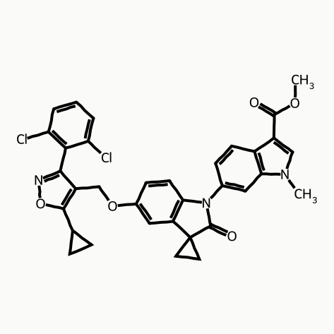 COC(=O)c1cn(C)c2cc(N3C(=O)C4(CC4)c4cc(OCc5c(-c6c(Cl)cccc6Cl)noc5C5CC5)ccc43)ccc12